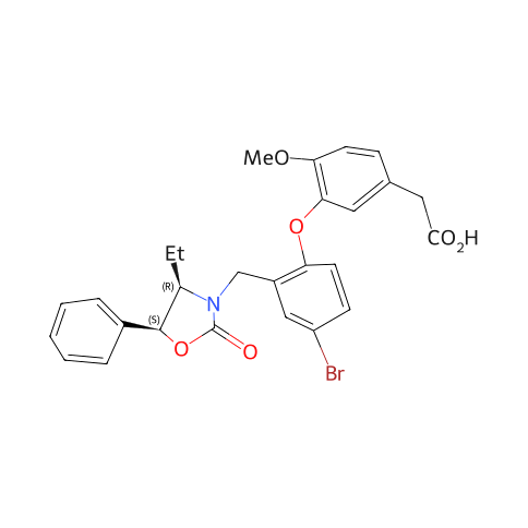 CC[C@@H]1[C@H](c2ccccc2)OC(=O)N1Cc1cc(Br)ccc1Oc1cc(CC(=O)O)ccc1OC